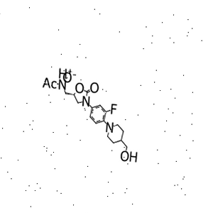 CC(=O)[NH+]([O-])C[C@@H]1CN(c2ccc(N3CCC(CO)CC3)c(F)c2)C(=O)O1